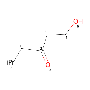 CC(C)CC(=O)CCO